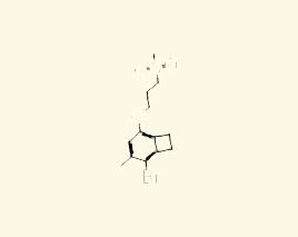 Cc1cc(OCCCS(C)(=O)=O)c2c(c1Br)CC2